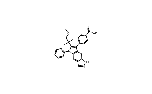 COCC(C)(C)c1c(-c2ccc(C(=O)O)cc2)c2cc3[nH]ncc3cc2n1-c1ccccc1